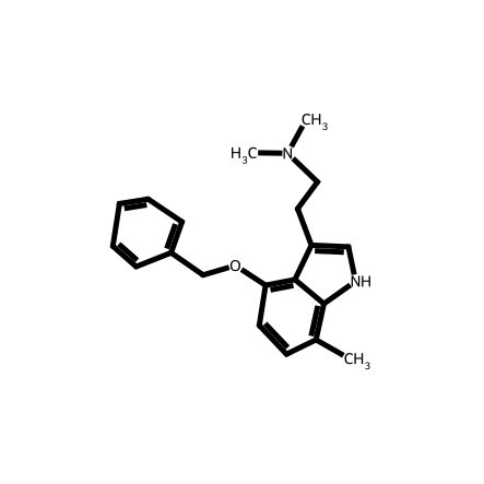 Cc1ccc(OCc2ccccc2)c2c(CCN(C)C)c[nH]c12